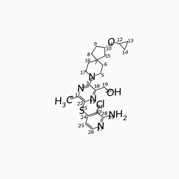 Cc1nc(N2CCC3(CC[C@H](OC4CC4)C3)CC2)c(CO)nc1Sc1ccnc(N)c1Cl